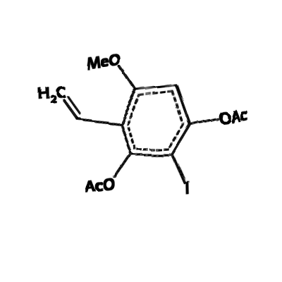 C=Cc1c(OC)cc(OC(C)=O)c(I)c1OC(C)=O